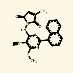 [C-]#[N+]c1c(NN2C(=O)C=C(C)C2=O)nc(-c2cccc3ccccc23)nc1SC